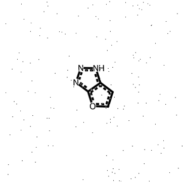 c1cc2[nH]nnc2o1